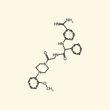 COc1ccccc1N1CCN(C(=O)CNC(=O)C(Nc2cccc(C(=N)N)c2)c2ccccc2)CC1